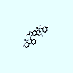 Cc1cc2c(cc1S(=O)(=O)Nc1cccc(F)n1)oc(=O)n2[C@H](C)c1ccccc1C1CCNCC1